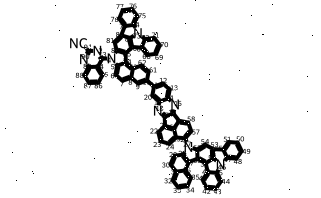 N#Cc1nc(-n2c3ccc4cc(-c5ccc6nc7c(nc6c5)-c5cccc6c(-n8c9ccc%10ccccc%10c9c9c%10c%11ccccc%11n%11c%12ccccc%12c(cc98)c%10%11)ccc-7c56)ccc4c3c3c4c5ccccc5n5c6ccccc6c(cc32)c45)c2ccccc2n1